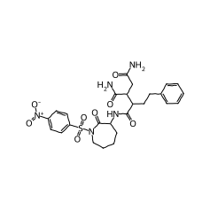 NC(=O)CC(C(N)=O)C(CCc1ccccc1)C(=O)NC1CCCCN(S(=O)(=O)c2ccc([N+](=O)[O-])cc2)C1=O